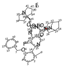 Cc1cccc(OCc2ccccc2)c1-c1ncc2c(N3CC4CCC(C3)N4C(=O)OC(C)(C)C)nc(OC[C@@]34CCCN3C[C@H](F)C4)nc2c1F